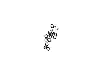 CC1C=CC(C2=NC(c3cccc4oc5c(-c6ccc7oc8ccccc8c7c6)cccc5c34)=NC(c3ccccc3)N2)=CC1